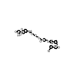 N#Cc1cccc(-c2ccc(=O)n(Cc3cccc(-c4ncc(OCC5CCN(C(=O)COCCOCCOCCNc6ccc7c(=O)n(C8CCC(=O)NC8=O)ncc7c6)CC5)cn4)c3)n2)c1